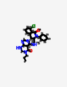 CCCN1CNc2ncnc(N[C@@H](C)c3cc4cccc(Cl)c4c(=O)n3-c3ccccc3)c2C1=O